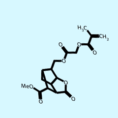 C=C(C)C(=O)OCC(=O)OCC1C2CC3C1OC(=O)C3C2C(=O)OC